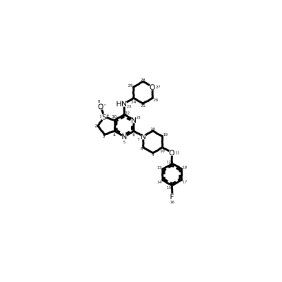 [O-][S+]1CCc2nc(N3CCC(Oc4ccc(F)cc4)CC3)nc(NC3CCOCC3)c21